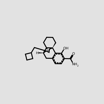 NC(=O)c1ccc2c(c1O)[C@@]13CCCC[C@H]1[C@@H](C2)C(CC1CCC1)CC3